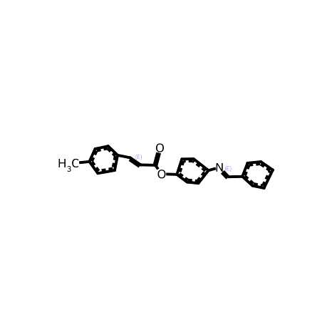 Cc1ccc(/C=C/C(=O)Oc2ccc(/N=C/c3ccccc3)cc2)cc1